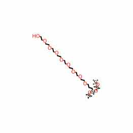 C[Si](C)(C)O[Si](C)(C)O[Si](C)(CCCOCCOCCOCCOCCOCCOCCOCCOCCO)O[Si](C)(C)C